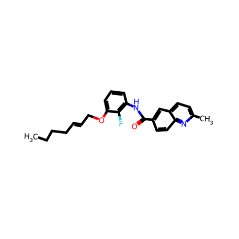 CCCCC=CCOc1cccc(NC(=O)c2ccc3nc(C)ccc3c2)c1F